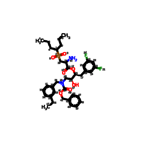 CCCC(CCC)S(=O)(=O)CC(N)C(=O)O[C@@H](Cc1cc(F)cc(F)c1)[C@H](O)CN(Cc1cccc(CC)c1)C(=O)OCc1ccccc1